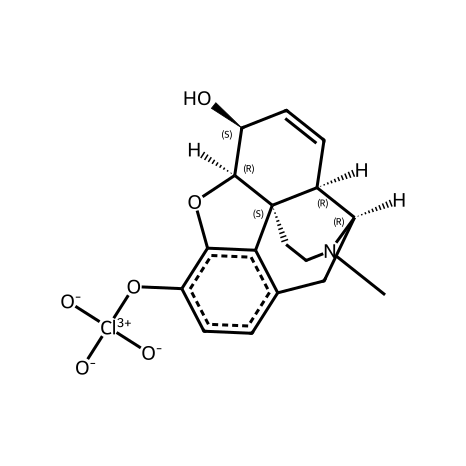 CN1CC[C@]23c4c5ccc(O[Cl+3]([O-])([O-])[O-])c4O[C@H]2[C@@H](O)C=C[C@H]3[C@H]1C5